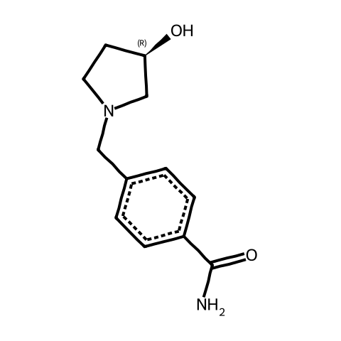 NC(=O)c1ccc(CN2CC[C@@H](O)C2)cc1